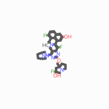 C#Cc1c(F)ccc2cc(O)cc(-c3ncc4c(N5CC6CCC(C5)N6)nc(OCC56CCCN5CC(O)(F)C6)nc4c3F)c12